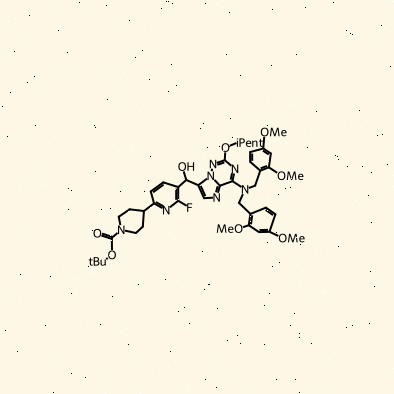 CCCC(C)Oc1nc(N(Cc2ccc(OC)cc2OC)Cc2ccc(OC)cc2OC)c2ncc(C(O)c3ccc(C4CCN(C(=O)OC(C)(C)C)CC4)nc3F)n2n1